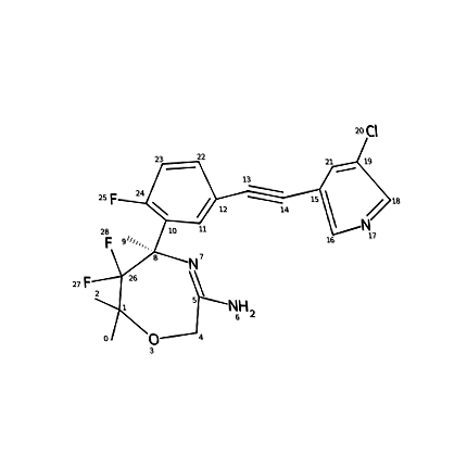 CC1(C)OCC(N)=N[C@](C)(c2cc(C#Cc3cncc(Cl)c3)ccc2F)C1(F)F